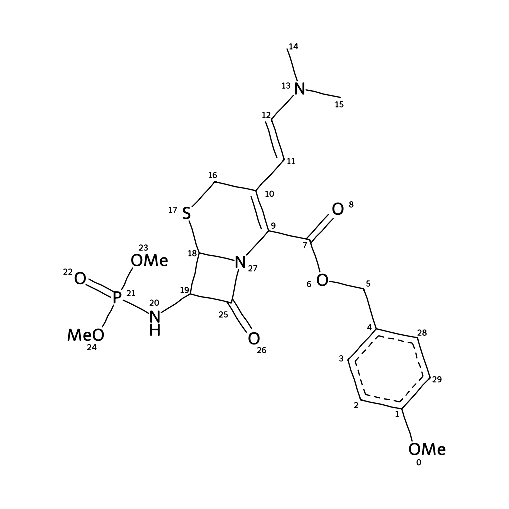 COc1ccc(COC(=O)C2=C(/C=C/N(C)C)CSC3C(NP(=O)(OC)OC)C(=O)N23)cc1